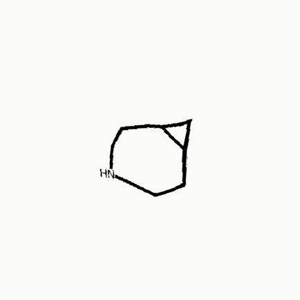 C1CC2CC2CCN1